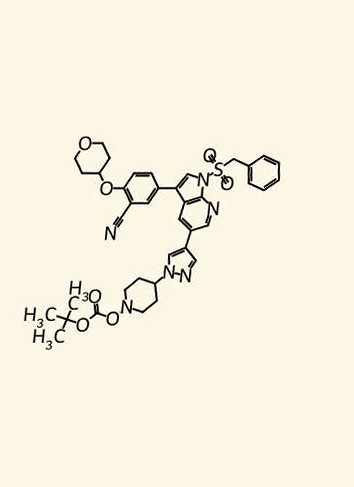 CC(C)(C)OC(=O)ON1CCC(n2cc(-c3cnc4c(c3)c(-c3ccc(OC5CCOCC5)c(C#N)c3)cn4S(=O)(=O)Cc3ccccc3)cn2)CC1